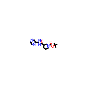 CC(C)(C)OC(=O)N1CCCC(c2nc(-c3cnccn3)no2)C1